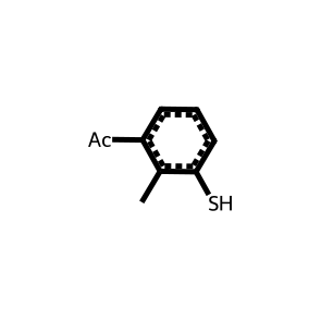 CC(=O)c1cccc(S)c1C